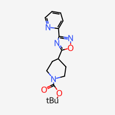 CC(C)(C)OC(=O)N1CCC(c2nc(-c3ccccn3)no2)CC1